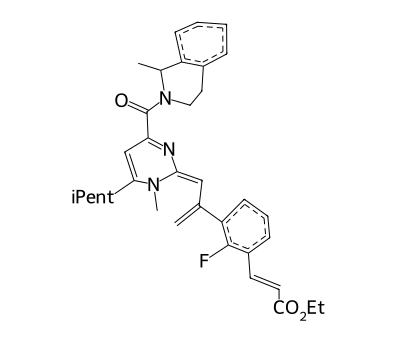 C=C(/C=C1/N=C(C(=O)N2CCc3ccccc3C2C)C=C(C(C)CCC)N1C)c1cccc(/C=C/C(=O)OCC)c1F